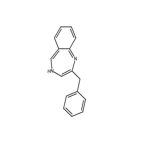 C1=C(Cc2ccccc2)N=c2ccccc2=CN1